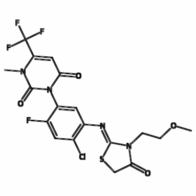 COCCN1C(=O)CSC1=Nc1cc(-n2c(=O)cc(C(F)(F)F)n(C)c2=O)c(F)cc1Cl